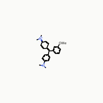 COc1cccc(C(=C2C=CC(=[N+](C)C)C=C2)c2ccc(N(C)C)cc2)c1